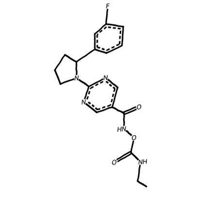 CCNC(=O)ONC(=O)c1cnc(N2CCCC2c2cccc(F)c2)nc1